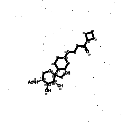 CC(=O)N[C@@H]1CO[C@](CO)(C2CCC(SCCC(=O)C3CCC3)CC2)[C@H](O)[C@@H]1O